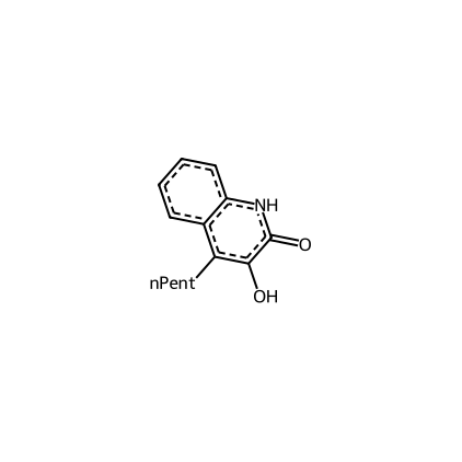 CCCCCc1c(O)c(=O)[nH]c2ccccc12